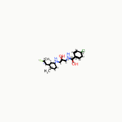 C/C(F)=C\C1CC(NCC(O)CNC(O)C2=CCC(Cl)C=C2)CC[C@@H]1C